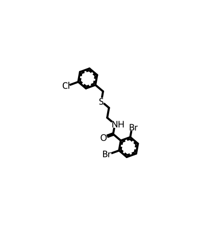 O=C(NCCSCc1cccc(Cl)c1)c1c(Br)cccc1Br